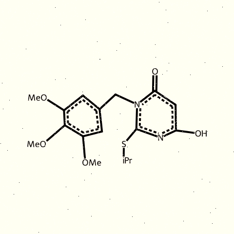 COc1cc(Cn2c(SC(C)C)nc(O)cc2=O)cc(OC)c1OC